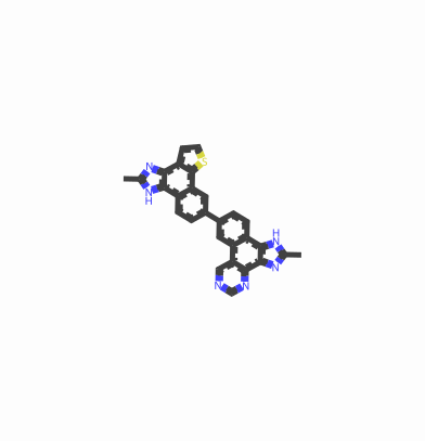 Cc1nc2c3ccsc3c3cc(-c4ccc5c(c4)c4cncnc4c4nc(C)[nH]c54)ccc3c2[nH]1